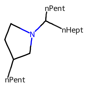 CCCCCCCC(CCCCC)N1CCC(CCCCC)C1